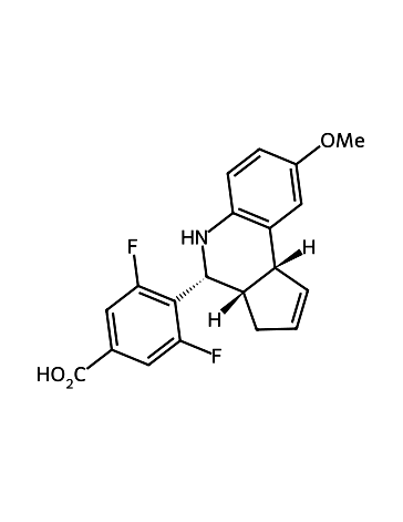 COc1ccc2c(c1)[C@@H]1C=CC[C@@H]1[C@H](c1c(F)cc(C(=O)O)cc1F)N2